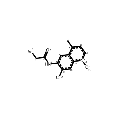 CC(=O)CC(=O)Nc1cc2c(C)cc[n+]([O-])c2cc1Cl